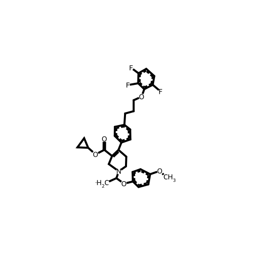 [CH2]C(Oc1ccc(OC)cc1)N1CCC(c2ccc(CCCOc3c(F)ccc(F)c3F)cc2)=C(C(=O)OC2CC2)C1